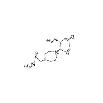 NC(=O)CN1CCN(c2ncc(Cl)cc2N)CC1